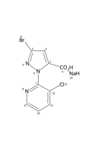 O=C(O)c1cc(Br)nn1-c1ncccc1Cl.[NaH]